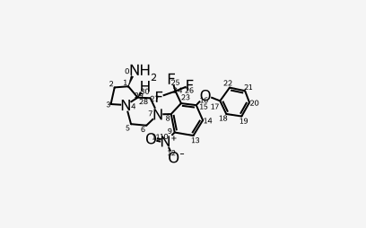 N[C@@H]1CCN2CCN(c3c([N+](=O)[O-])ccc(Oc4ccccc4)c3C(F)(F)F)C[C@@H]12